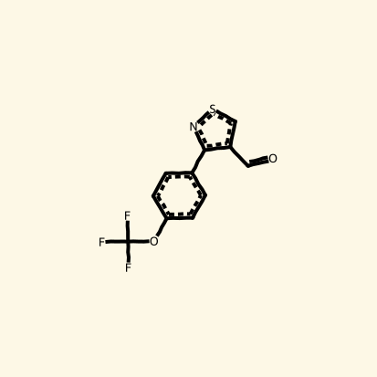 O=Cc1csnc1-c1ccc(OC(F)(F)F)cc1